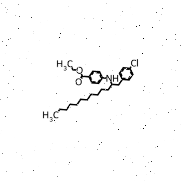 CCCCCCCCCCCC(Cc1ccc(Cl)cc1)Nc1ccc(C(=O)OCC)cc1